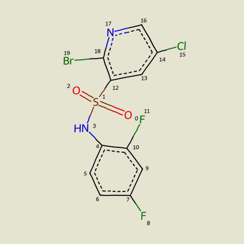 O=S(=O)(Nc1ccc(F)cc1F)c1cc(Cl)cnc1Br